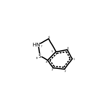 [c]1cccc2c1CNS2